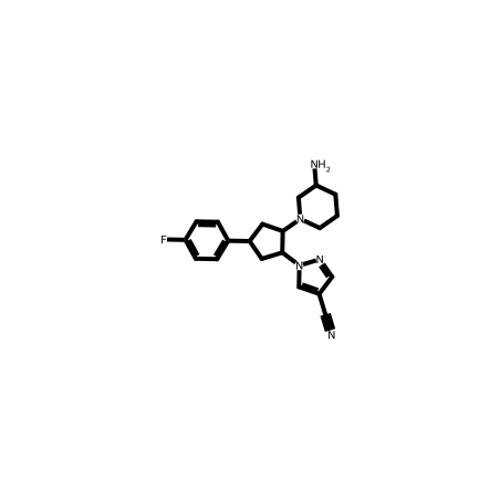 N#Cc1cnn(C2CC(c3ccc(F)cc3)CC2N2CCCC(N)C2)c1